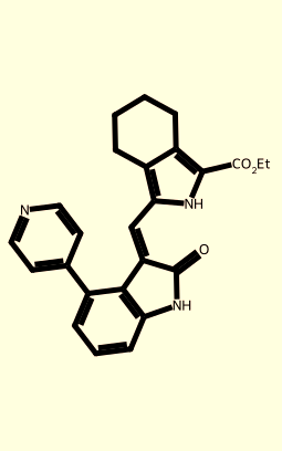 CCOC(=O)c1[nH]c(/C=C2\C(=O)Nc3cccc(-c4ccncc4)c32)c2c1CCCC2